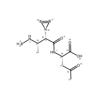 BN[C@@H](C)[C@@H](C(=O)N[C@@H](CC(C)=O)C(=O)O)N1B=B1